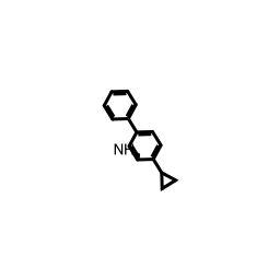 N.c1ccc(-c2ccc(C3CC3)cc2)cc1